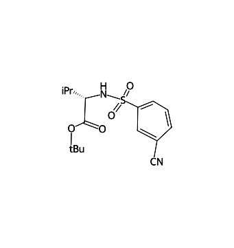 CC(C)[C@H](NS(=O)(=O)c1cccc(C#N)c1)C(=O)OC(C)(C)C